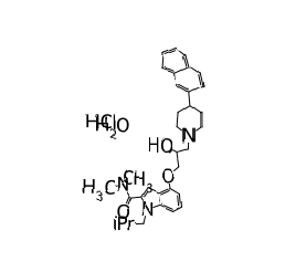 CC(C)Cn1c(C(=O)N(C)C)cc2c(OCC(O)CN3CCC(c4ccc5ccccc5c4)CC3)cccc21.Cl.O